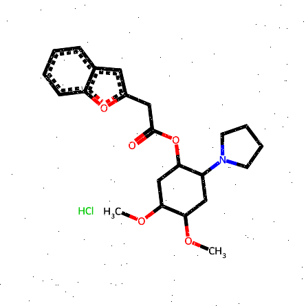 COC1CC(OC(=O)Cc2cc3ccccc3o2)C(N2CCCC2)CC1OC.Cl